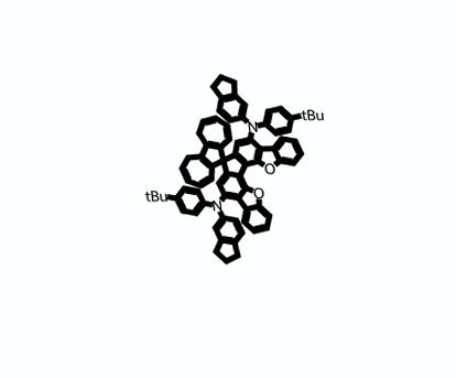 CC(C)(C)c1ccc(N(c2ccc3c(c2)CCC3)c2cc3c(c4oc5ccccc5c24)-c2c(cc(N(c4ccc(C(C)(C)C)cc4)c4ccc5c(c4)CCC5)c4c2oc2ccccc24)C32C3=C(CC=CC=C3)C3=C2C=CC=CC3)cc1